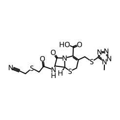 Cn1nnnc1SCC1=C(C(=O)O)N2C(=O)C(NC(=O)CSCC#N)[C@H]2SC1